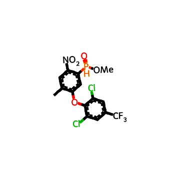 CO[PH](=O)c1cc(Oc2c(Cl)cc(C(F)(F)F)cc2Cl)c(C)cc1[N+](=O)[O-]